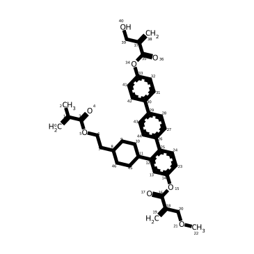 C=C(C)C(=O)OCCC1CCC(c2cc(OC(=O)C(=C)COC)ccc2-c2ccc(-c3ccc(OC(=O)C(=C)CO)cc3)cc2)CC1